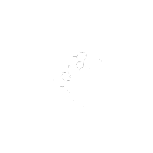 Cc1cc(Nc2nn(C3(CC#N)CCCOC3)c3cc[nH]c(=O)c23)ccc1C(=O)N1CCC(O)(C(F)(F)F)C1